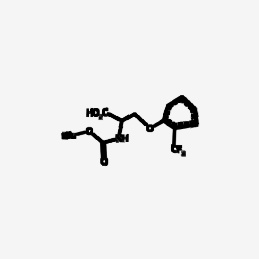 CC(C)(C)OC(=O)NC(COc1ccccc1C(F)(F)F)C(=O)O